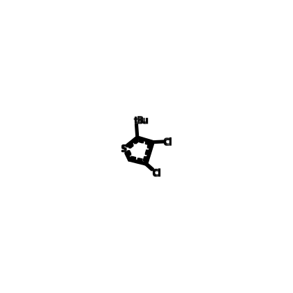 CC(C)(C)c1scc(Cl)c1Cl